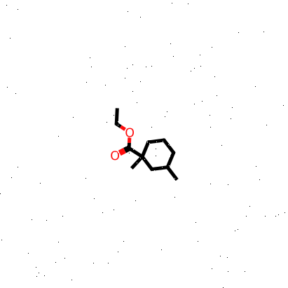 CCOC(=O)C1(C)CCCC(C)C1